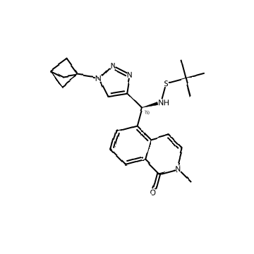 Cn1ccc2c([C@H](NSC(C)(C)C)c3cn(C45CC(C4)C5)nn3)cccc2c1=O